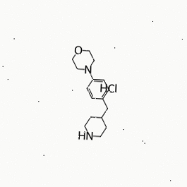 Cl.c1cc(N2CCOCC2)ccc1CC1CCNCC1